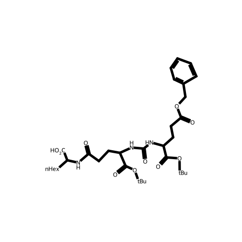 CCCCCCC(NC(=O)CCC(NC(=O)NC(CCC(=O)OCc1ccccc1)C(=O)OC(C)(C)C)C(=O)OC(C)(C)C)C(=O)O